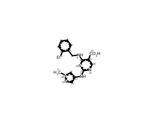 CCc1ccccc1CNc1nc(Nc2cnn(C)c2)ncc1C(=O)O